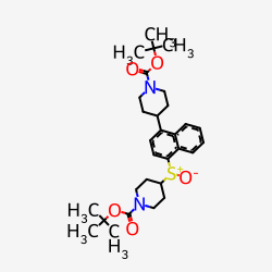 CC(C)(C)OC(=O)N1CCC(c2ccc([S+]([O-])C3CCN(C(=O)OC(C)(C)C)CC3)c3ccccc23)CC1